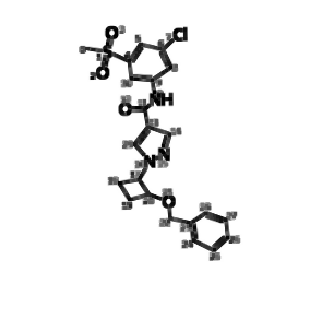 CS(=O)(=O)c1cc(Cl)cc(NC(=O)c2cnn(C3CCC3OCc3ccccc3)c2)c1